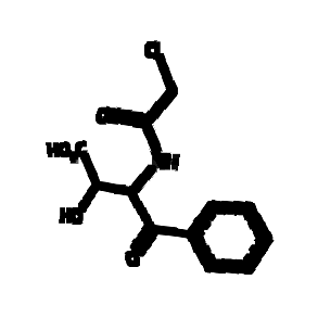 O=C(CCl)NC(C(=O)c1ccccc1)C(O)C(=O)O